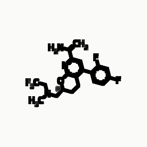 C=C(N)c1cc(-c2ccc(F)cc2F)c2c(n1)O[C@H](CN(C)CC(F)(F)F)CC2